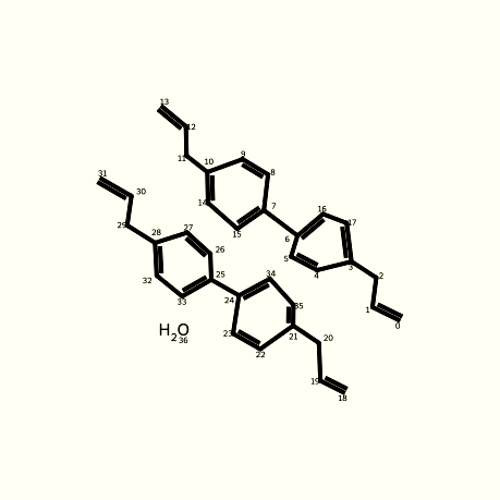 C=CCc1ccc(-c2ccc(CC=C)cc2)cc1.C=CCc1ccc(-c2ccc(CC=C)cc2)cc1.O